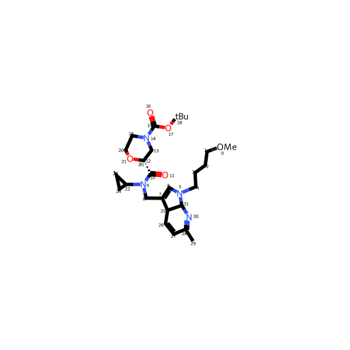 COCCCCN1C=C(CN(C(=O)[C@H]2CN(C(=O)OC(C)(C)C)CCO2)C2CC2)C2C=CC(C)=NC21